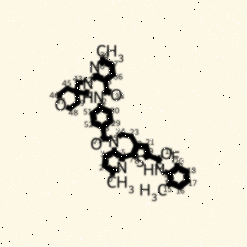 Cc1ccc2c(n1)-c1sc(C(=O)Nc3c(C)cccc3F)cc1CCN2C(=O)c1ccc(NC(=O)c2ccc(C)nc2N2CC3(CCOCC3)C2)cc1